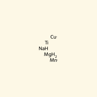 [Cu].[MgH2].[Mn].[NaH].[Ti]